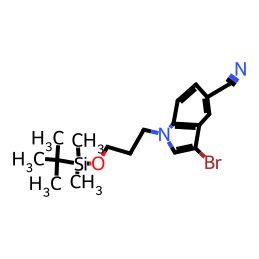 CC(C)(C)[Si](C)(C)OCCCn1cc(Br)c2cc(C#N)ccc21